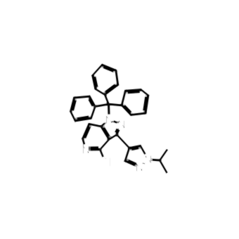 CC(C)n1cc(-c2nn(C(c3ccccc3)(c3ccccc3)c3ccccc3)c3ccnc(Cl)c23)cn1